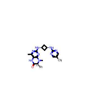 Cc1nc(N[C@H]2C[C@@H](Nc3ncc(C#N)cn3)C2)nc2c1NC(=O)[C@H](C(C)C)N2C